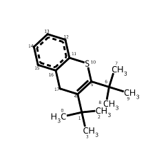 CC(C)(C)C1=C(C(C)(C)C)Sc2ccccc2C1